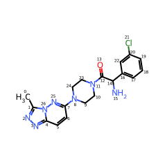 Cc1nnc2ccc(N3CCN(C(=O)C(N)c4cccc(Cl)c4)CC3)nn12